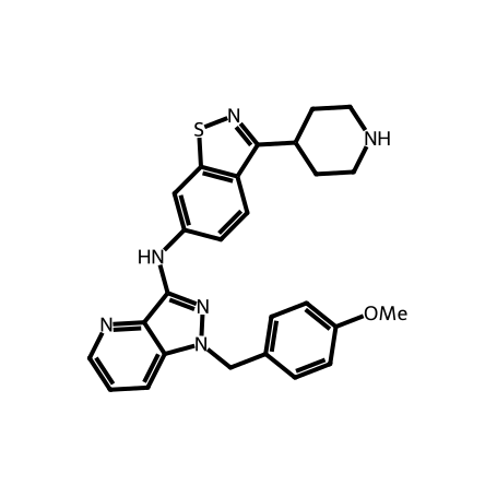 COc1ccc(Cn2nc(Nc3ccc4c(C5CCNCC5)nsc4c3)c3ncccc32)cc1